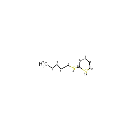 CCCCCSC1CCCCS1